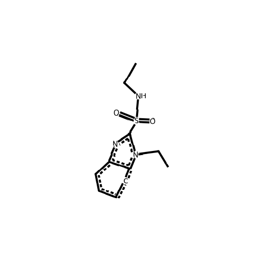 CCNS(=O)(=O)c1nc2ccccc2n1CC